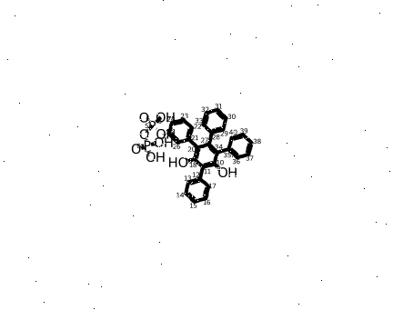 O=P(O)(O)OP(=O)(O)O.Oc1c(-c2ccccc2)c(O)c(-c2ccccc2)c(-c2ccccc2)c1-c1ccccc1